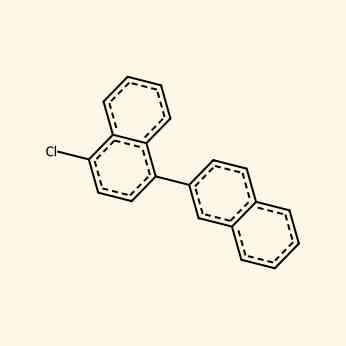 Clc1ccc(-c2ccc3ccccc3c2)c2ccccc12